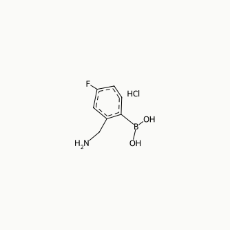 Cl.NCc1cc(F)ccc1B(O)O